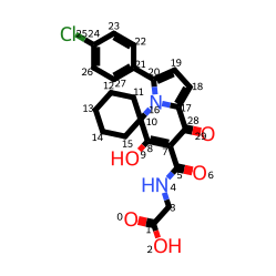 O=C(O)CNC(=O)C1=C(O)C2(CCCCC2)n2c(ccc2-c2ccc(Cl)cc2)C1=O